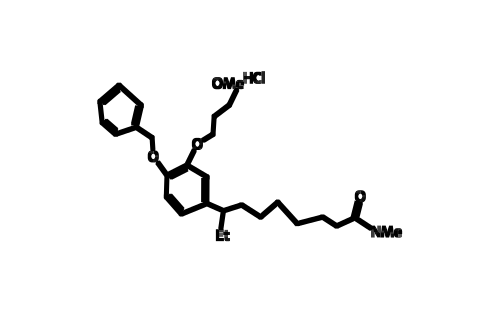 CCC(CCCCCCC(=O)NC)c1ccc(OCc2ccccc2)c(OCCCOC)c1.Cl